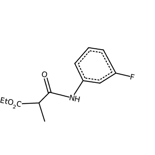 CCOC(=O)C(C)C(=O)Nc1cccc(F)c1